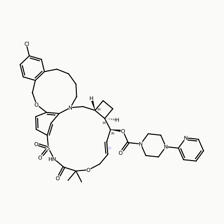 CC1(C)OC/C=C/[C@H](OC(=O)N2CCN(c3ccccn3)CC2)[C@@H]2CC[C@H]2CN2CCCCc3cc(Cl)ccc3COc3ccc(cc32)S(=O)(=O)NC1=O